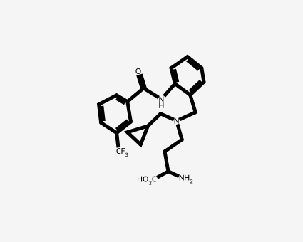 NC(CCN(Cc1ccccc1NC(=O)c1cccc(C(F)(F)F)c1)CC1CC1)C(=O)O